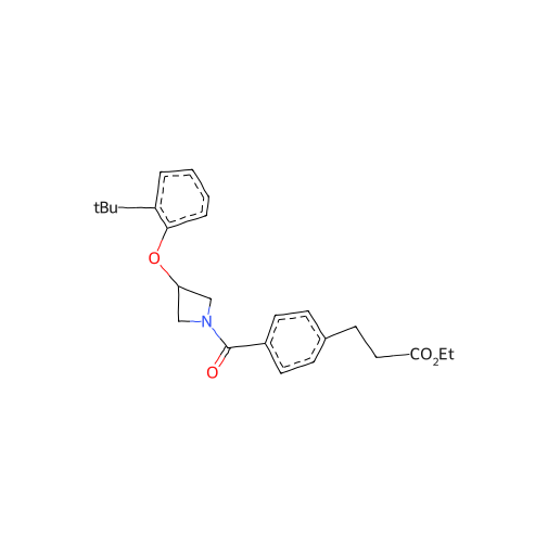 CCOC(=O)CCc1ccc(C(=O)N2CC(Oc3ccccc3C(C)(C)C)C2)cc1